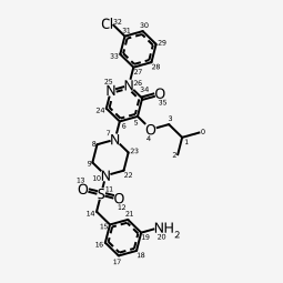 CC(C)COc1c(N2CCN(S(=O)(=O)Cc3cccc(N)c3)CC2)cnn(-c2cccc(Cl)c2)c1=O